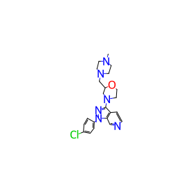 CN1CCN(CC2CN(c3nn(-c4ccc(Cl)cc4)c4cnccc34)CCO2)CC1